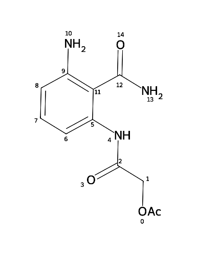 CC(=O)OCC(=O)Nc1cccc(N)c1C(N)=O